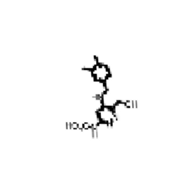 Cc1ccc(CNc2cc(NC(=O)O)nnc2CO)cc1C